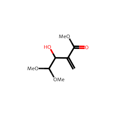 C=C(C(=O)OC)C(O)C(OC)OC